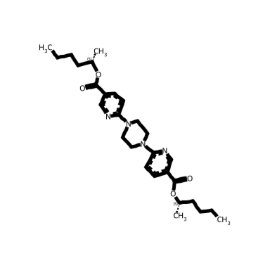 CCCC[C@H](C)OC(=O)c1ccc(N2CCN(c3ccc(C(=O)O[C@@H](C)CCCC)cn3)CC2)nc1